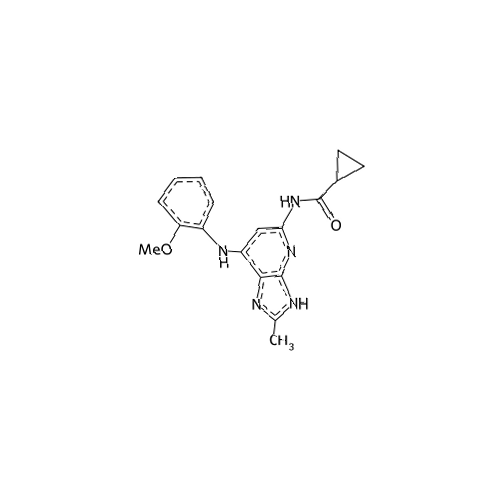 COc1ccccc1Nc1cc(NC(=O)C2CC2)nc2[nH]c(C)nc12